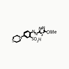 COc1nnc(N=Nc2ccc(N3CCSCC3)cc2S(=O)(=O)O)s1